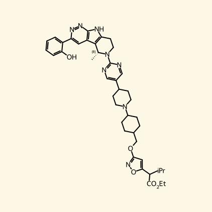 CCOC(=O)C(c1cc(OCC2CCC(N3CCC(c4cnc(N5CCc6[nH]c7nnc(-c8ccccc8O)cc7c6[C@H]5C)nc4)CC3)CC2)no1)C(C)C